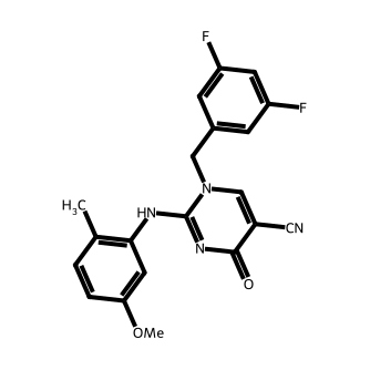 COc1ccc(C)c(Nc2nc(=O)c(C#N)cn2Cc2cc(F)cc(F)c2)c1